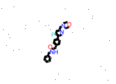 O=C(Cc1ccc(-c2cnc(CN3CCOCC3)cc2F)cc1)NCc1ccccc1